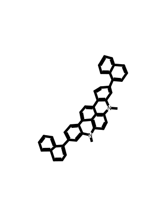 CN1c2cc(-c3cccc4ccccc34)ccc2-c2ccc3c4c(ccc1c24)N(C)c1cc(-c2cccc4ccccc24)ccc1-3